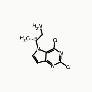 C[C@H](CN)n1ccc2nc(Cl)nc(Cl)c21